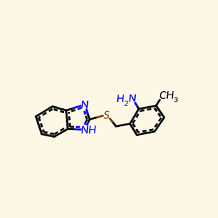 Cc1cccc(CSc2nc3ccccc3[nH]2)c1N